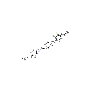 CCCC1CCC(/C=C/CCC2CCC(CCc3ccc(OCC)c(F)c3F)CC2)CC1